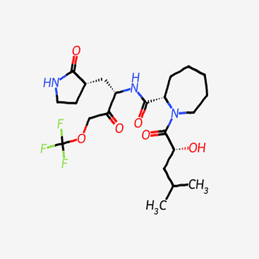 CC(C)C[C@@H](O)C(=O)N1CCCCC[C@H]1C(=O)N[C@@H](C[C@@H]1CCNC1=O)C(=O)COC(F)(F)F